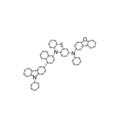 c1ccc(N(c2ccc3c(c2)Sc2ccccc2N3c2ccc(-c3ccc4c(c3)c3ccccc3n4-c3ccccc3)c3ccccc23)c2ccc3oc4ccccc4c3c2)cc1